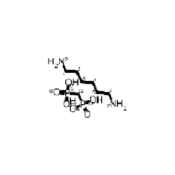 NCCCCCCN.O=P(O)(O)CP(=O)(O)O